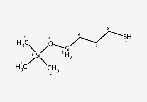 C[Si](C)(C)O[SiH2]CCCS